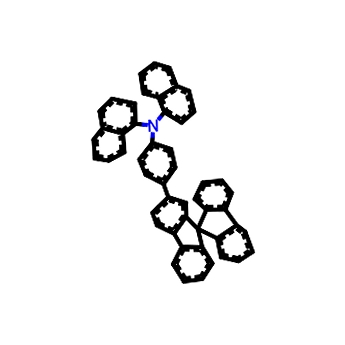 c1ccc2c(c1)-c1ccccc1C21c2ccccc2-c2ccc(-c3ccc(N(c4cccc5ccccc45)c4cccc5ccccc45)cc3)cc21